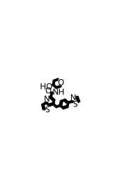 O=C(N[C@H]1COCC[C@@H]1O)c1cc(Cc2ccc(-c3nccs3)cc2)c2sccc2n1